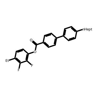 CCCCCCCc1ccc(-c2ccc(C(=O)Oc3ccc(CC)c(F)c3F)cc2)cc1